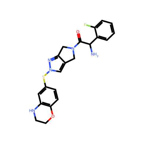 NC(C(=O)N1Cc2cn(Sc3ccc4c(c3)NCCO4)nc2C1)c1ccccc1F